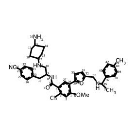 COc1cc(Cl)c(C(=O)NC(CNC2CCC(N)CC2)Cc2ccc(C#N)cc2)cc1-c1ccc(CNC(C)c2ccc(C)cc2)o1